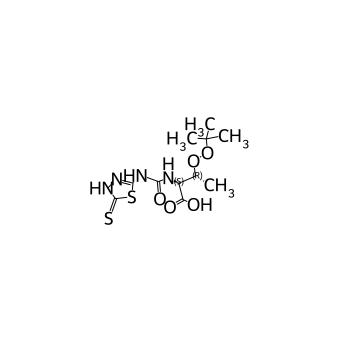 C[C@@H](OOC(C)(C)C)[C@H](NC(=O)Nc1n[nH]c(=S)s1)C(=O)O